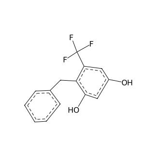 Oc1cc(O)c(Cc2ccccc2)c(C(F)(F)F)c1